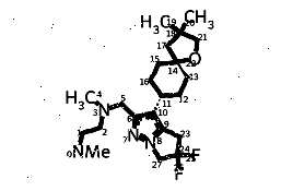 CNCCN(C)Cc1nn2c(c1[C@H]1CC[C@@]3(CC1)CC(C)(C)CO3)CC(F)(F)C2